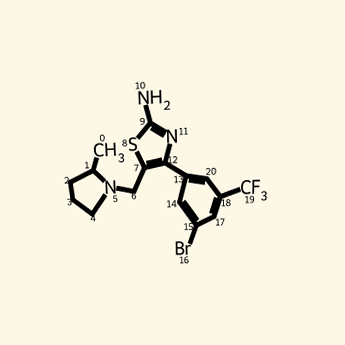 CC1CCCN1Cc1sc(N)nc1-c1cc(Br)cc(C(F)(F)F)c1